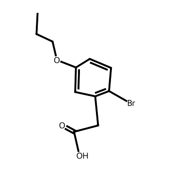 CCCOc1ccc(Br)c(CC(=O)O)c1